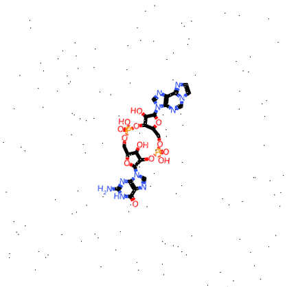 Nc1nc2c(ncn2C2OC3COP(=O)(O)OC4C(COP(=O)(O)OC2C3O)OC(n2cnc3c2ncn2ccnc32)C4O)c(=O)[nH]1